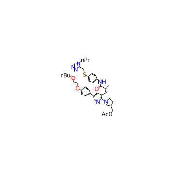 CCCCOCCOc1ccc(-c2cnc(N3CCC(COC(C)=O)C3)c(C=C(C)C(=O)Nc3ccc(SCc4nncn4CCC)cc3)c2)cc1